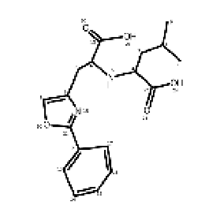 CC(C)CC(NC(Cc1coc(-c2ccccc2)n1)C(=O)O)C(=O)O